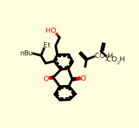 C=C(C)C(=O)O.C=CC(=O)O.CCCCC(CC)Cc1c(CCO)ccc2c1C(=O)c1ccccc1C2=O